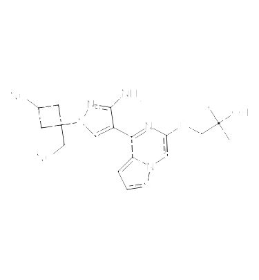 CC(C)(O)COc1cn2nccc2c(-c2cn(C3(CC#N)CC(C#N)C3)nc2N)n1